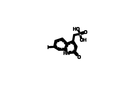 O=c1cc(CP(=O)(O)O)c2ccc(I)cc2[nH]1